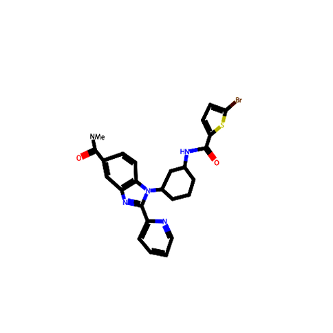 CNC(=O)c1ccc2c(c1)nc(-c1ccccn1)n2C1CCCC(NC(=O)c2ccc(Br)s2)C1